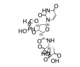 CO[C@H]1C(O[PH](O)=S)[C@@H](C(=O)N[C@H](CC(=O)P(=O)(O)O)C(=O)O)O[C@H]1n1ccc(=O)[nH]c1=O